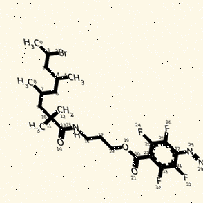 CC(Br)CC(C)CC(C)CC(C)(C)C(=O)NCCCOC(=O)c1c(F)c(F)c(N=[N+]=[N-])c(F)c1F